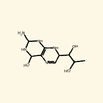 CC(O)C(O)C1C=NC2=C(NC(N)NC2O)N1